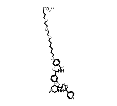 C[C@@H](NC(=O)c1cccc(NC2(c3nnc(-c4ccncc4)[nH]3)CCN(C)CC2)c1)c1ccc(OCCCCCCOCCOCCOCCCC(=O)O)cc1